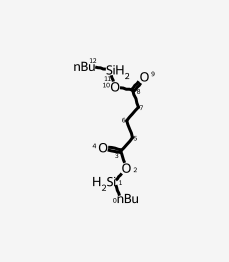 CCCC[SiH2]OC(=O)CCCC(=O)O[SiH2]CCCC